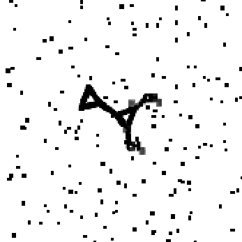 C[C@H]1C(C2CC2)N1C